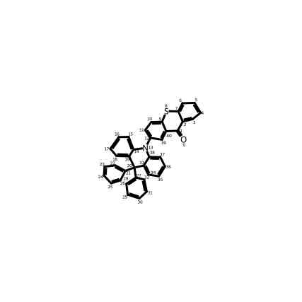 O=c1c2ccccc2sc2ccc(N3c4ccccc4C(c4ccccc4)(c4ccccc4)c4ccccc43)cc12